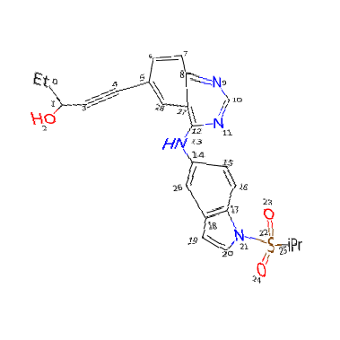 CCC(O)C#Cc1ccc2ncnc(Nc3ccc4c(ccn4S(=O)(=O)C(C)C)c3)c2c1